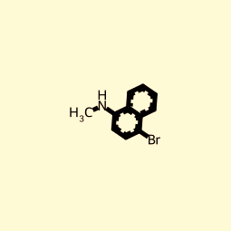 CNc1ccc(Br)c2ccccc12